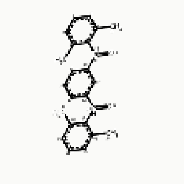 Cc1cccc(C)c1[PH](=O)c1cccc([PH](=O)c2c(C)cccc2C)c1